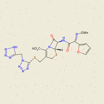 CON=C(C(=O)N[C@@H]1C(=O)N2C(C(=O)O)=C(CSc3nnnn3Cc3nnn[nH]3)CS[C@@H]12)c1ccco1